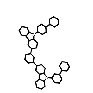 C1CCC(C2CCC(N3C4CCCCC4C4CC(C5CCCC(C6CCC7C(C6)C6CCCCC6N7C6CCCC(C7CCCCC7)C6)C5)CCC43)CC2)CC1